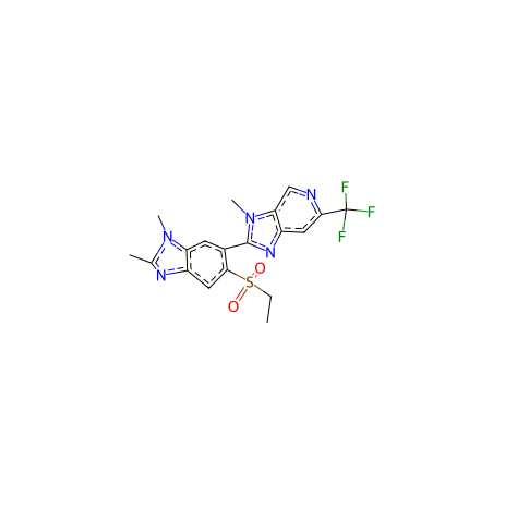 CCS(=O)(=O)c1cc2nc(C)n(C)c2cc1-c1nc2cc(C(F)(F)F)ncc2n1C